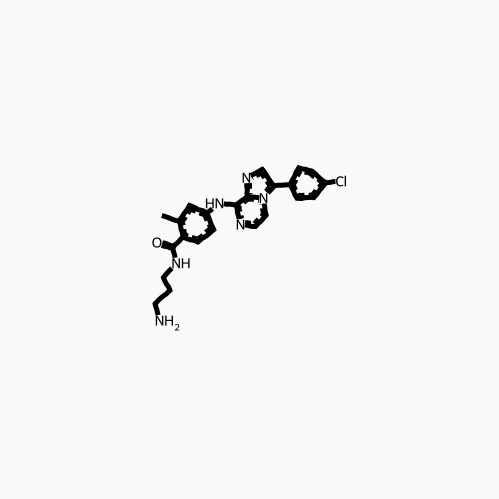 Cc1cc(Nc2nccn3c(-c4ccc(Cl)cc4)cnc23)ccc1C(=O)NCCCN